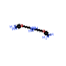 N=C(NCCCCCCCOc1ccc(C(=N)N)cc1)NCCCCCCCOc1ccc(C(=N)N)cc1